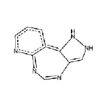 C1=NC2=CNNC2=c2cccnc2=N1